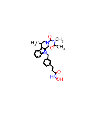 CC(=O)N(C)C(=O)N1Cc2c(c3ccccc3n2Cc2cccc(/C=C/C(=O)NO)c2)C(C)C1